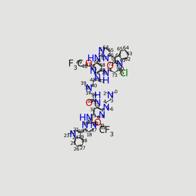 CN(C)CCN(C)c1nc(OCC(F)(F)F)c(Nc2nccc(-c3cn(C)c4ccccc34)n2)cc1NC(=O)CCN(C)CCN(C)c1nc(OCC(F)(F)F)c(Nc2nccc(-c3cn(C)c4ccccc34)n2)cc1NC(=O)CCCl